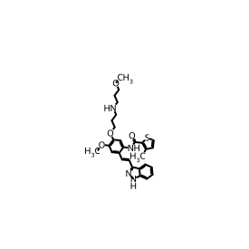 COCCCNCCCOc1cc(NC(=O)c2sccc2C)c(C=Cc2n[nH]c3ccccc23)cc1OC